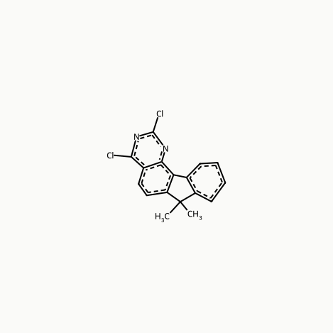 CC1(C)c2ccccc2-c2c1ccc1c(Cl)nc(Cl)nc21